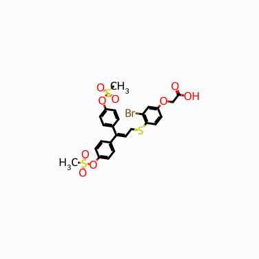 CS(=O)(=O)Oc1ccc(C(=CCSc2ccc(OCC(=O)O)cc2Br)c2ccc(OS(C)(=O)=O)cc2)cc1